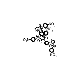 O=[N+]([O-])c1ccc(S(=O)(=O)N2CCN=C2c2cccc(N(C(=S)N(c3cccc(C4=NCCN4S(=O)(=O)c4ccc([N+](=O)[O-])cc4)c3)S(=O)(=O)c3ccc([N+](=O)[O-])cc3)S(=O)(=O)c3ccc([N+](=O)[O-])cc3)c2)cc1